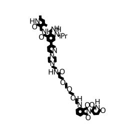 Cc1cc(C)c(CNC(=O)c2cc(-c3ccc(N4CCN(CCNC(=O)CCOCCOCCOCCNc5cccc6c5C(=O)N(C5CCC(=O)NC5=O)C6=O)CC4)nc3)cc(NC(C)C)c2C=N)c(=O)[nH]1